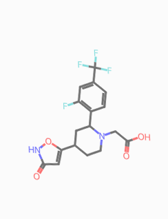 O=C(O)CN1CCC(c2cc(=O)[nH]o2)CC1c1ccc(C(F)(F)F)cc1F